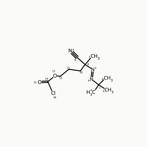 CC(C)(C)N=NC(C)(C#N)CCCOC(=O)Cl